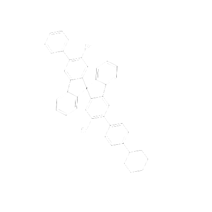 Brc1cc2c(cc1-c1ccccc1)-c1ccccc1C21c2ccccc2-c2cc(-c3ccc(C4CCCCC4)cc3)c(Br)cc21